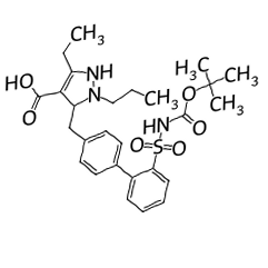 CCCN1NC(CC)=C(C(=O)O)C1Cc1ccc(-c2ccccc2S(=O)(=O)NC(=O)OC(C)(C)C)cc1